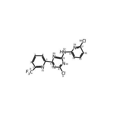 FC(F)(F)c1cccc(-c2nc(Cl)nc(Nc3cccc(Cl)n3)n2)n1